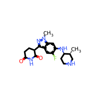 C[C@@H]1CNCC[C@H]1Nc1cc2c(cc1F)c(C1CCC(=O)NC1=O)nn2C